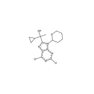 CC(O)(c1nc2c(Cl)nc(Cl)nc2n1C1CCCCO1)C1CC1